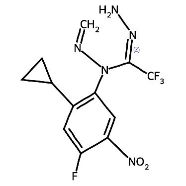 C=NN(/C(=N\N)C(F)(F)F)c1cc([N+](=O)[O-])c(F)cc1C1CC1